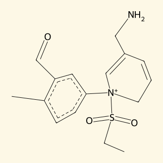 CCS(=O)(=O)[N+]1(c2ccc(C)c(C=O)c2)C=C(CN)C=CC1